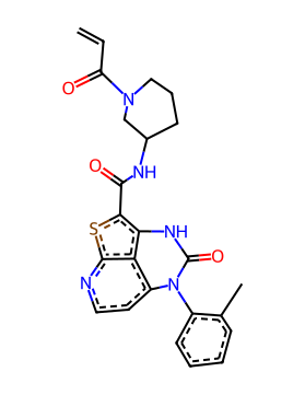 C=CC(=O)N1CCCC(NC(=O)c2sc3nccc4c3c2NC(=O)N4c2ccccc2C)C1